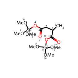 CO[Si](OC)(OC)OC(=O)CC(C)C(=O)O[Si](OC)(OC)OC